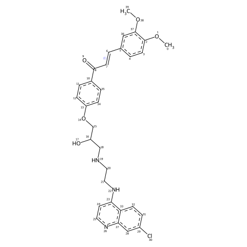 COc1ccc(/C=C/C(=O)c2ccc(OCC(O)CNCCNc3ccnc4cc(Cl)ccc34)cc2)cc1OC